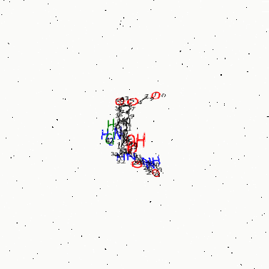 COCCCOc1cc(C[C@@H](C[C@H](N)[C@@H](O)C[C@H](C(=O)NCC(=O)NN2CCOCC2)C(C)C)C(C)C)ccc1OC.Cl